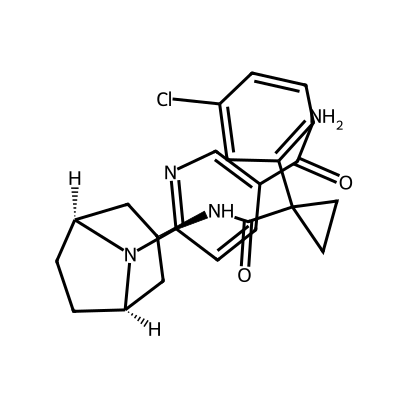 NC(=O)c1ccc(N2[C@@H]3CC[C@H]2C[C@@H](NC(=O)C2(c4cccc(Cl)c4)CC2)C3)nc1